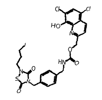 O=C(NCc1ccc(Cn2c(=O)sn(CCCI)c2=O)cc1)OCc1ccc2c(Cl)cc(Cl)c(O)c2n1